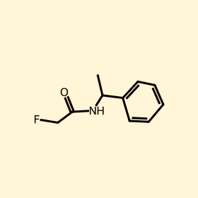 CC(NC(=O)CF)c1ccccc1